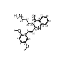 COc1ccc(OC)c(C=Cc2nc3ccccc3c(=O)n2CCCN)c1